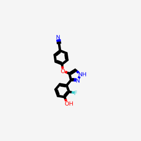 N#Cc1ccc(Oc2c[nH]nc2-c2cccc(O)c2F)cc1